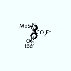 CCOC(=O)C1(c2ccnc(SC)n2)CCN(C(=O)OC(C)(C)C)CC1